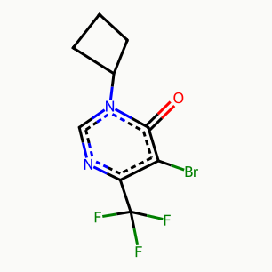 O=c1c(Br)c(C(F)(F)F)ncn1C1CCC1